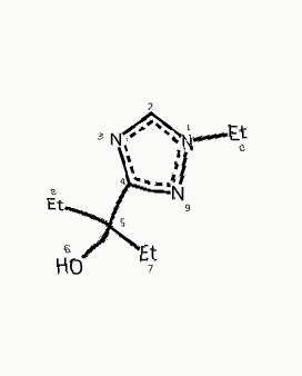 CCn1cnc(C(O)(CC)CC)n1